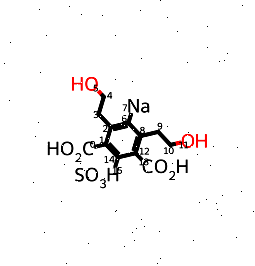 O=C(O)c1c(CCO)[c]([Na])c(CCO)c(C(=O)O)c1S(=O)(=O)O